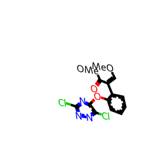 COC=C(C(=O)OC)c1ccccc1Oc1nc(Cl)nnc1Cl